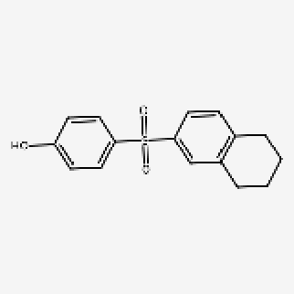 O=S(=O)(c1ccc(O)cc1)c1ccc2c(c1)CCCC2